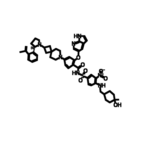 C=C(C)c1ccccc1[C@@H]1CCCN1C1CC2(CCN(c3ccc(C(=O)NS(=O)(=O)c4ccc(NCC5CCC(C)(O)CC5)c([N+](=O)[O-])c4)c(Oc4cnc5[nH]ccc5c4)c3)CC2)C1